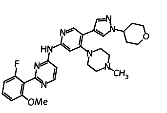 COc1cccc(F)c1-c1nccc(Nc2cc(N3CCN(C)CC3)c(-c3cnn(C4CCOCC4)c3)cn2)n1